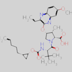 C=CCCC[C@@H]1C[C@H]1OC(=O)N[C@H](C(=O)N1C[C@H](Oc2nc3cc(OC)ccc3nc2C=C)[C@@H](C)[C@H]1C(=O)O)C(C)(C)C